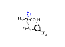 CCC(CCC(C)(N)C(=O)O)Cc1cccc(C(F)(F)F)c1